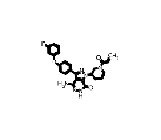 C=CC(=O)N1CCCC(n2nc(-c3ccc(Oc4cccc(F)c4)cc3)c3c(N)n[nH]c(=O)c32)C1